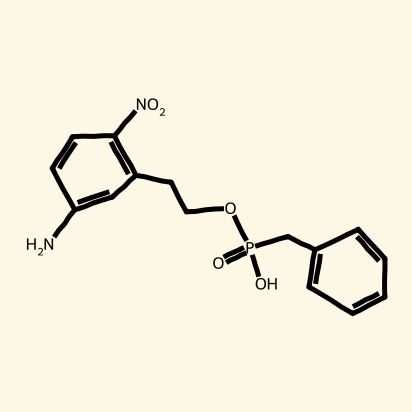 Nc1ccc([N+](=O)[O-])c(CCOP(=O)(O)Cc2ccccc2)c1